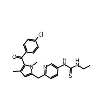 CCNC(=S)Nc1ccc(Cc2cc(C)c(C(=O)c3ccc(Cl)cc3)n2C)nc1